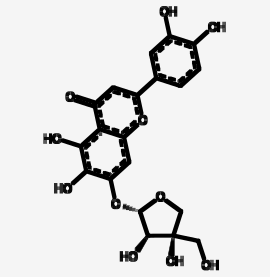 O=c1cc(-c2ccc(O)c(O)c2)oc2cc(O[C@@H]3OC[C@](O)(CO)[C@H]3O)c(O)c(O)c12